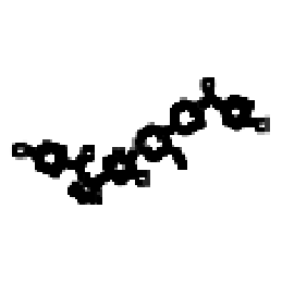 CC[C@H]1CN(c2ncc(-c3nccn3C(=O)c3ccc(Cl)cc3)cc2Cl)CCN1C1CCN(C(=O)c2ccc(Cl)cc2)CC1